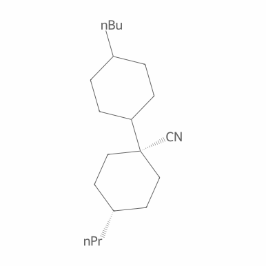 CCCCC1CCC([C@]2(C#N)CC[C@@H](CCC)CC2)CC1